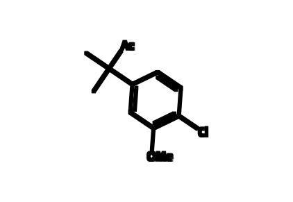 COc1cc(C(C)(C)C(C)=O)ccc1Cl